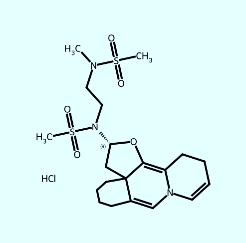 CN(CCN([C@H]1CC23CCCCC2=CN2C=CCCC2=C3O1)S(C)(=O)=O)S(C)(=O)=O.Cl